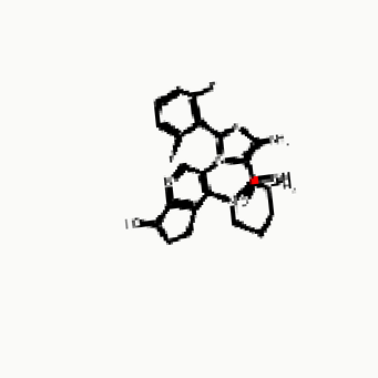 NC(=O)C1=C(N)SC(c2c(F)cccc2F)N1c1cnc2c(c1N1CCC[C@H](N)C1)CCC2O